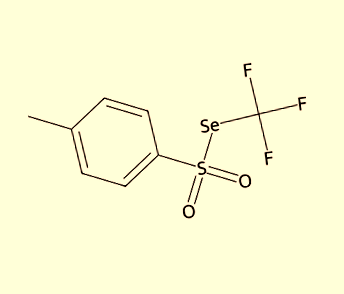 Cc1ccc(S(=O)(=O)[Se]C(F)(F)F)cc1